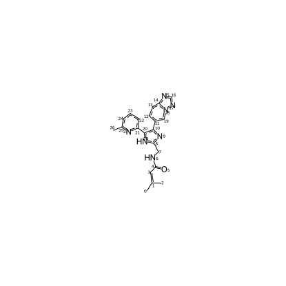 CC(C)=CC(=O)NCc1nc(-c2ccc3ncnn3c2)c(-c2cccc(C)n2)[nH]1